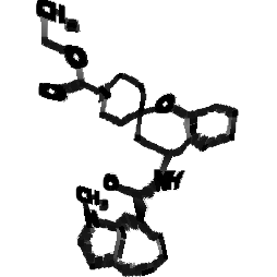 CCOC(=O)N1CCC2(CC1)CC(NC(=O)c1cccc3ccn(C)c13)c1ccccc1O2